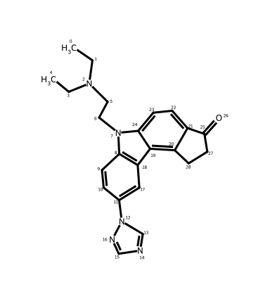 CCN(CC)CCn1c2ccc(-n3cncn3)cc2c2c3c(ccc21)C(=O)CC3